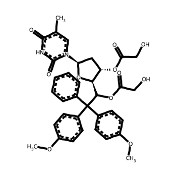 COc1ccc(C(c2ccccc2)(c2ccc(OC)cc2)C(OC(=O)CO)[C@H]2O[C@@H](n3cc(C)c(=O)[nH]c3=O)C[C@@H]2OC(=O)CO)cc1